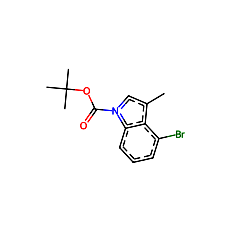 Cc1cn(C(=O)OC(C)(C)C)c2cccc(Br)c12